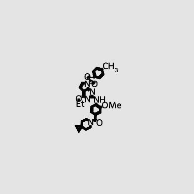 CCOc1nc(Nc2ccc(C(=O)N3CCC4(CC3)CC4)cc2OC)nc2c1ccn2S(=O)(=O)c1ccc(C)cc1